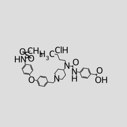 CCCCN(C(=O)Nc1ccc(C(=O)O)cc1)C1CCN(Cc2ccc(Oc3ccc(NS(C)(=O)=O)cc3)cc2)CC1.Cl